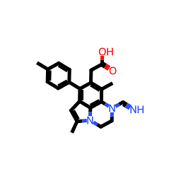 Cc1ccc(-c2c(CC(=O)O)c(C)c3c4c2cc(C)n4CCN3C=N)cc1